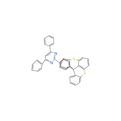 c1ccc(-c2cc(-c3ccccc3)nc(-c3ccc(C45c6ccccc6Sc6cccc(c64)Sc4ccccc45)cc3)n2)cc1